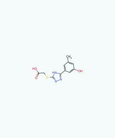 Cc1cc(O)cc(-c2nnc(SCC(=O)O)[nH]2)c1